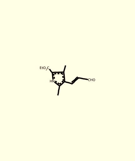 CCOC(=O)c1[nH]c(C)c(C=CC=O)c1C